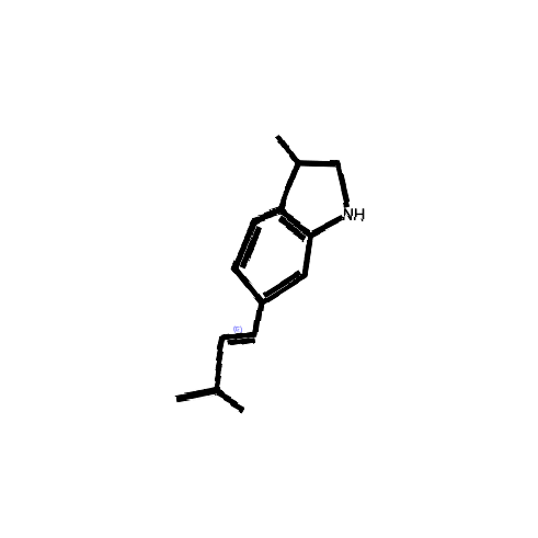 CC(C)/C=C/c1ccc2c(c1)NCC2C